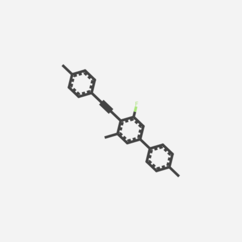 Cc1ccc(C#Cc2c(C)cc(-c3ccc(C)cc3)cc2F)cc1